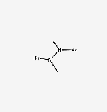 CC(=O)N(C)N(C)C(C)C